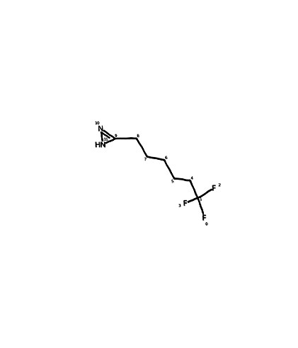 FC(F)(F)CCCCCC1=NN1